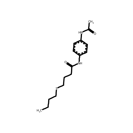 CCCCSCCCC(=O)Nc1ccc(NC(C)=O)cc1